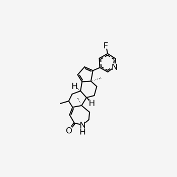 CC1C[C@H]2C3=CC=C(c4cncc(F)c4)[C@@]3(C)CC[C@@H]2[C@@]2(C)CCNC(=O)C=C12